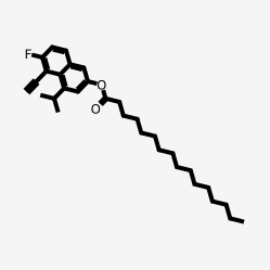 C#Cc1c(F)ccc2cc(OC(=O)CCCCCCCCCCCCCCC)cc(C(C)C)c12